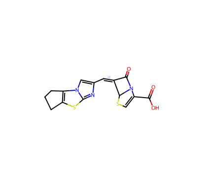 O=C(O)C1=CSC2/C(=C\c3cn4c5c(sc4n3)CCC5)C(=O)N12